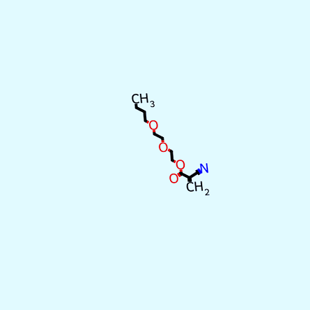 C=C(C#N)C(=O)OCCOCCOCCCC